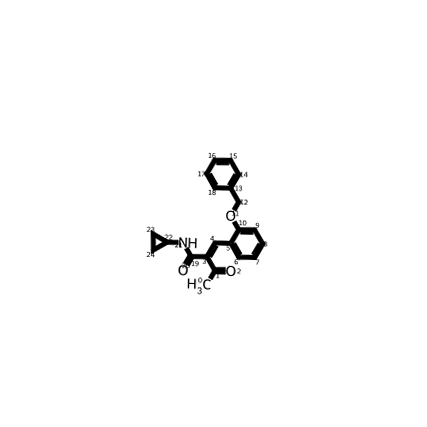 CC(=O)C(=Cc1ccccc1OCc1ccccc1)C(=O)NC1CC1